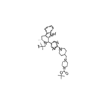 C[C@@H]1Cc2c([nH]c3ccccc23)[C@@H](c2cnc(N3CCC(CN4CCN(C(=O)OC(C)(C)C)CC4)CC3)nc2)N1CC(C)(C)F